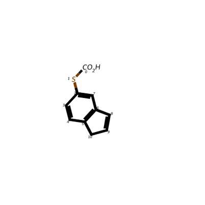 O=C(O)Sc1ccc2c(c1)C=CC2